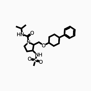 CC(C)NC(=O)N1CCC(NS(C)(=O)=O)C1COC1CCC(c2ccccc2)CC1